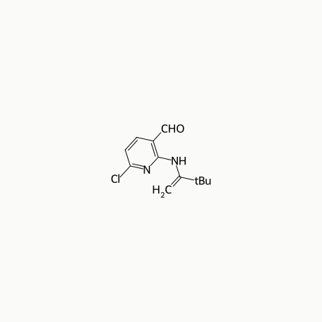 C=C(Nc1nc(Cl)ccc1C=O)C(C)(C)C